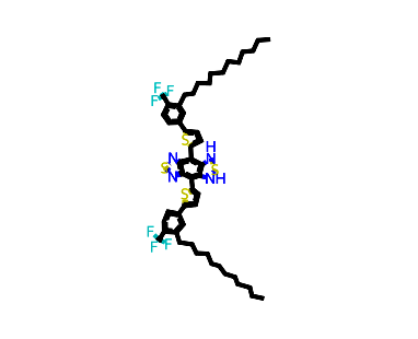 CCCCCCCCCCCCc1cc(-c2ccc(-c3c4c(c(-c5ccc(-c6ccc(C(F)(F)F)c(CCCCCCCCCCCC)c6)s5)c5nsnc35)NSN4)s2)ccc1C(F)(F)F